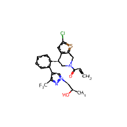 C=CC(=O)N1Cc2sc(Cl)cc2[C@H](c2ccccc2-c2cn(C[C@@H](C)O)nc2C(F)(F)F)C1